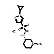 CN1CCC[C@H](NNS(=O)(=O)c2cnn(C3CC3)c2)C1.Cl